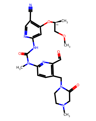 COC[C@H](C)Oc1cc(NC(=O)N(C)c2ccc(CN3CCN(C)CC3=O)c(C=O)n2)ncc1C#N